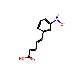 O=C(O)C=CC=Cc1cccc([N+](=O)[O-])c1